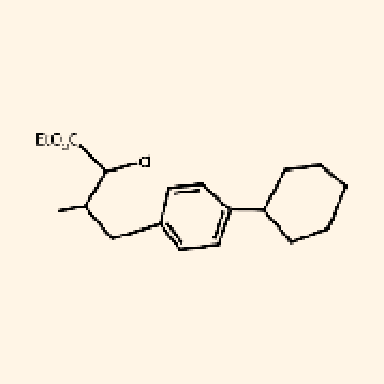 CCOC(=O)C(Cl)C(C)Cc1ccc(C2CCCCC2)cc1